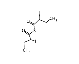 CCC(I)C(=O)SC(=O)C(I)CC